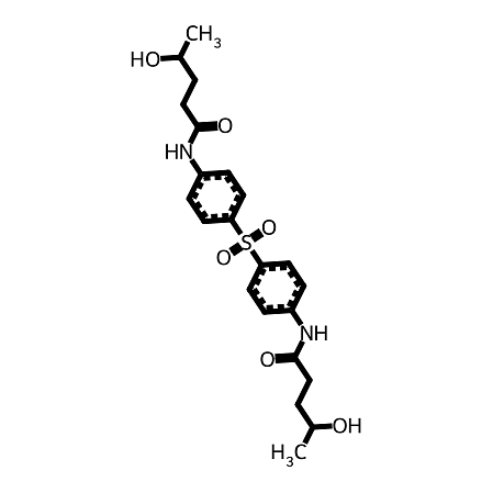 CC(O)CCC(=O)Nc1ccc(S(=O)(=O)c2ccc(NC(=O)CCC(C)O)cc2)cc1